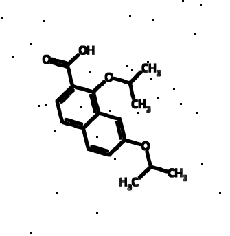 CC(C)Oc1ccc2ccc(C(=O)O)c(OC(C)C)c2c1